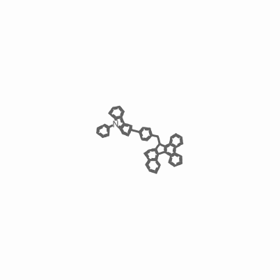 c1ccc(-n2c3ccccc3c3cc(-c4ccc(CC5c6ccc7ccccc7c6-c6c5c5ccccc5c5ccccc65)cc4)ccc32)cc1